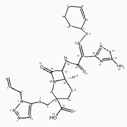 C=CCn1nnnc1SCC1(C(=O)O)CS[C@@H]2C(NC(=O)C(=NOC3C=CCCC3)c3nsc(N)n3)C(=O)N2C1